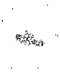 O=C(Nc1nc2ccc(C(F)(F)F)cc2s1)c1cc(Cl)ccc1C1CCCCN1C1CCN(C(=O)O)CC1